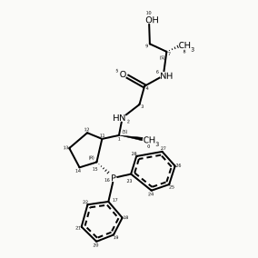 C[C@H](NCC(=O)N[C@@H](C)CO)C1CCC[C@H]1P(c1ccccc1)c1ccccc1